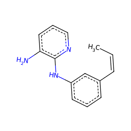 C/C=C\c1cccc(Nc2ncccc2N)c1